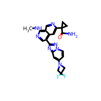 CNc1ncc(-c2nc3cc(N4CC(F)(F)C4)ccn3n2)c2cc(C3(C(N)=O)CC3)ncc12